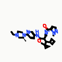 CCN1CCN(c2ccc(NC(=O)C(C#[N+]C(=O)c3ccnn3C)C(C3CCC3)C3(C)CC3)cn2)[C@H](C)C1